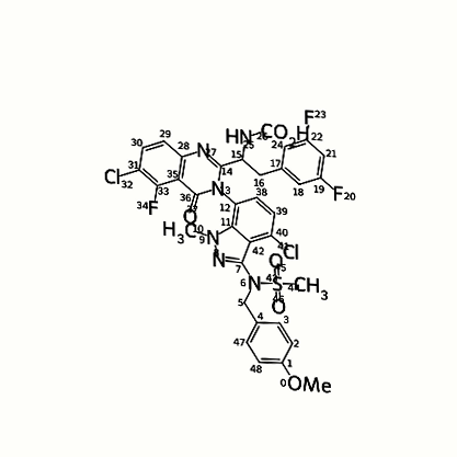 COc1ccc(CN(c2nn(C)c3c(-n4c(C(Cc5cc(F)cc(F)c5)NC(=O)O)nc5ccc(Cl)c(F)c5c4=O)ccc(Cl)c23)S(C)(=O)=O)cc1